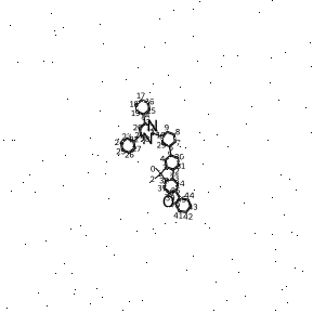 CC1(C)c2cc(-c3cccc(-c4nc(-c5ccccc5)cc(-c5ccccc5)n4)c3)ccc2-c2cc3c(cc21)oc1ccccc13